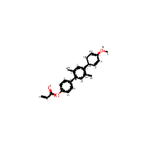 C=CC(=O)Oc1ccc(-c2cc(C)c(C3C=CC(OC)=CC3)cc2C)cc1